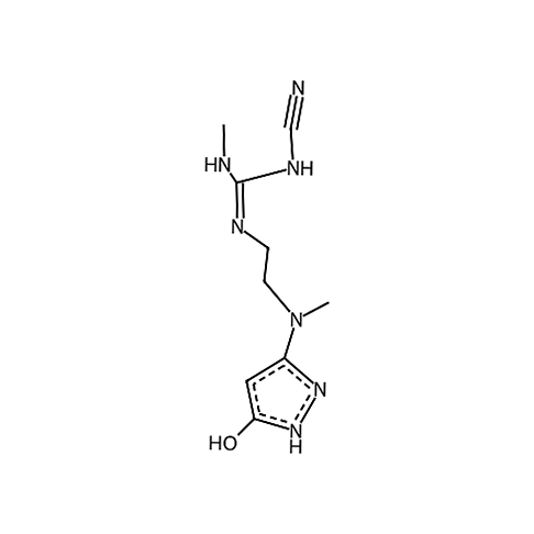 CNC(=NCCN(C)c1cc(O)[nH]n1)NC#N